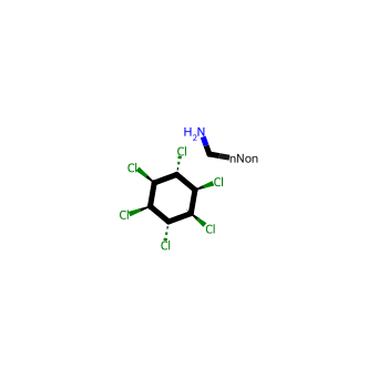 CCCCCCCCCCN.Cl[C@H]1[C@H](Cl)[C@@H](Cl)[C@@H](Cl)[C@H](Cl)[C@H]1Cl